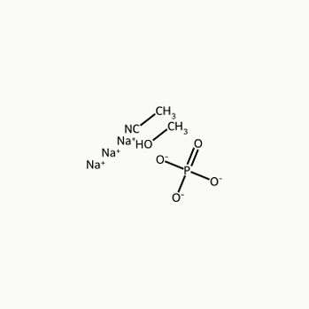 CC#N.CO.O=P([O-])([O-])[O-].[Na+].[Na+].[Na+]